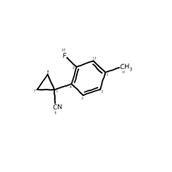 Cc1ccc(C2(C#N)CC2)c(F)c1